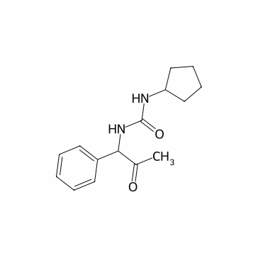 CC(=O)C(NC(=O)NC1CCCC1)c1ccccc1